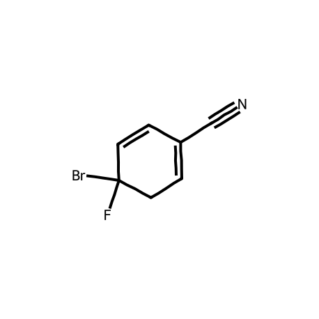 N#CC1=CCC(F)(Br)C=C1